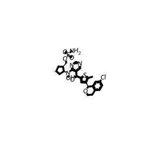 Cc1sc(C(=O)c2cncnc2N(O)[C@H]2C[CH]C[C@H]2COS(N)(=O)=O)cc1[C@@H]1OCCc2ccc(Cl)cc21